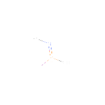 CCN=[PH](C)I